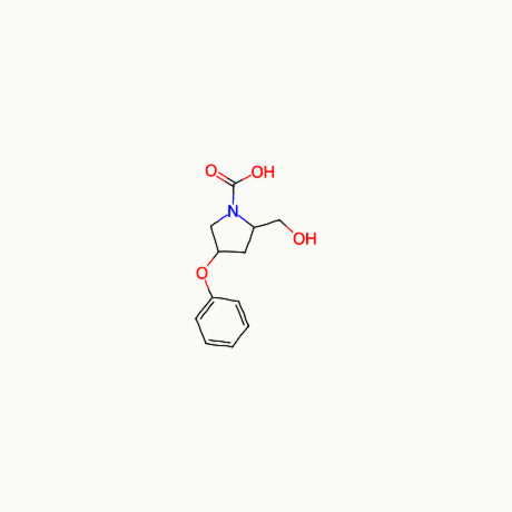 O=C(O)N1CC(Oc2ccccc2)CC1CO